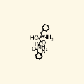 Nc1ccccc1C(=O)NNC(=O)C(O)[C@H](N)CC1CCCCC1